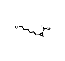 CCCCCCC[C@@H]1C[C@@H]1C(=O)O